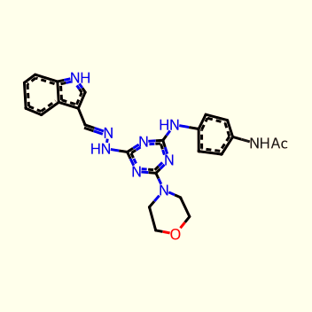 CC(=O)Nc1ccc(Nc2nc(N/N=C/c3c[nH]c4ccccc34)nc(N3CCOCC3)n2)cc1